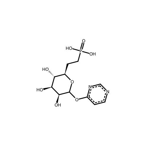 O=P(O)(O)CC[C@H]1OC(Oc2ccncn2)[C@@H](O)[C@@H](O)[C@@H]1O